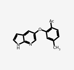 CC(=O)c1ccc(C)cc1Oc1cnc2[nH]ccc2c1